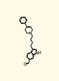 O=Cc1ccc2c(CCCCN3CC=C(c4ccccc4)CC3)c[nH]c2c1